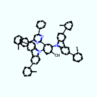 Cc1ccccc1-c1ccc2c(c1)c1cc(-c3ccccc3C)ccc1n2-c1cc(-c2nc(-c3ccccc3)cc(-c3ccccc3)n2)c(-n2c3ccc(-c4ccccc4C)cc3c3cc(-c4ccccc4C)ccc32)cc1C#N